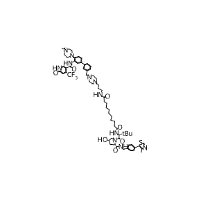 Cc1ncsc1-c1ccc(CNC(=O)[C@@H]2C[C@@H](O)CN2C(=O)[C@@H](NC(=O)CCCCCCCCCC(=O)NCCCN2CCN(Cc3cccc(-c4ccc(N5CCN(C)CC5)c(NC(=O)c5c[nH]c(=O)cc5C(F)(F)F)c4)c3)CC2)C(C)(C)C)cc1